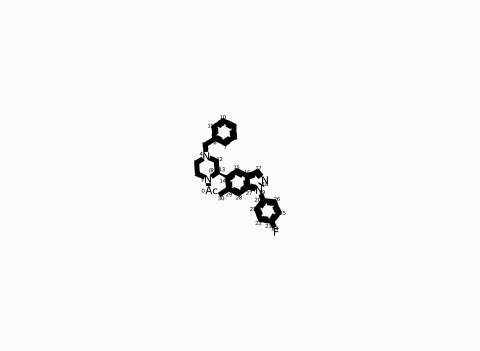 CC(=O)N1CCN(Cc2ccccc2)C[C@H]1c1cc2cnn(-c3ccc(F)cc3)c2cc1C